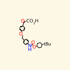 CC(C)(C)C1CCC(OC(=O)Nc2ccc(CCOc3ccc(C4O[C@@H]4C(=O)O)cc3)cc2)CC1